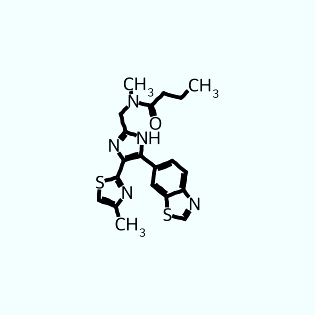 CCCC(=O)N(C)Cc1nc(-c2nc(C)cs2)c(-c2ccc3ncsc3c2)[nH]1